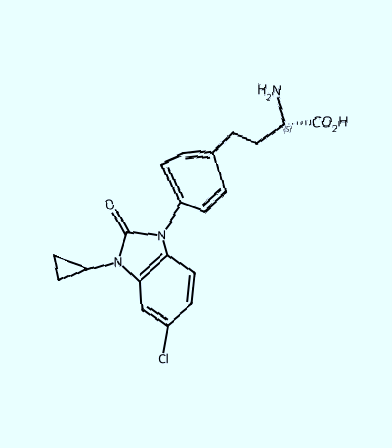 N[C@@H](CCc1ccc(-n2c(=O)n(C3CC3)c3cc(Cl)ccc32)cc1)C(=O)O